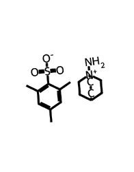 Cc1cc(C)c(S(=O)(=O)[O-])c(C)c1.N[N+]12CCC(CC1)CC2